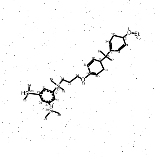 CCOC1C=CC(C(C)(C)C2C=CC(OCCC[Si](C)(C)c3cc([SiH](C)C)cc([SiH](C)C)c3)=CC2)=CC1